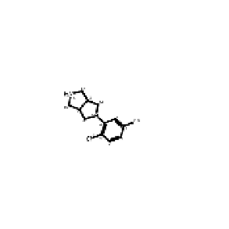 Fc1ccc(Cl)c(N2CC3CNCC3C2)c1